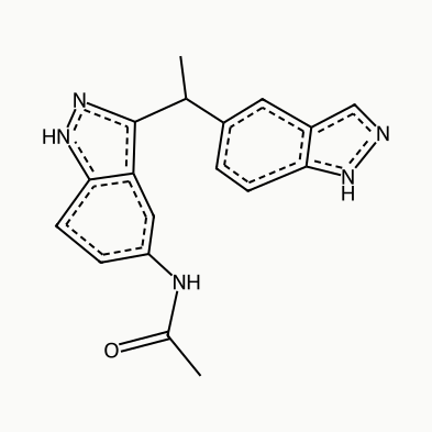 CC(=O)Nc1ccc2[nH]nc(C(C)c3ccc4[nH]ncc4c3)c2c1